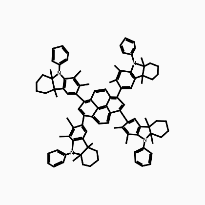 Cc1c(-c2cc(-c3cc4c(c(C)c3C)N(c3ccccc3)C3(C)CCCCC43C)c3ccc4c(-c5cc6c(c(C)c5C)N(c5ccccc5)C5(C)CCCCC65C)cc(-c5cc6c(c(C)c5C)N(c5ccccc5)C5(C)CCCCC65C)c5ccc2c3c54)cc2c(c1C)N(c1ccccc1)C1(C)CCCCC21C